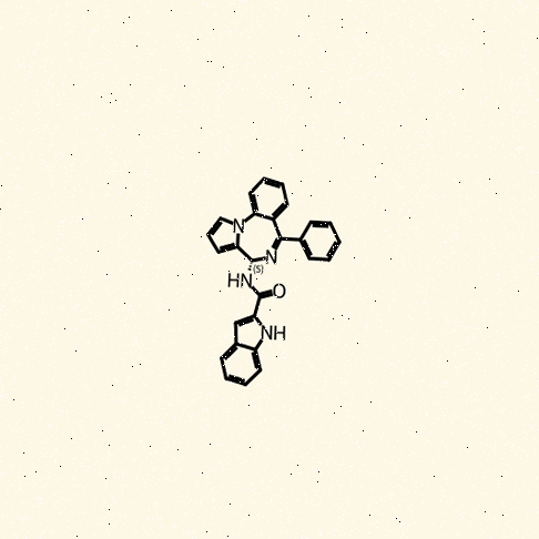 O=C(N[C@H]1N=C(c2ccccc2)c2ccccc2-n2cccc21)c1cc2ccccc2[nH]1